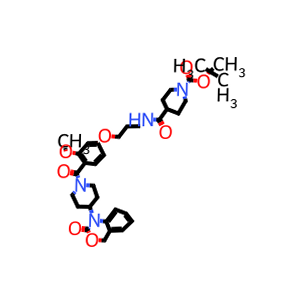 COc1cc(OCCCNC(=O)C2CCN(C(=O)OC(C)(C)C)CC2)ccc1C(=O)N1CCC(N2C(=O)OCc3ccccc32)CC1